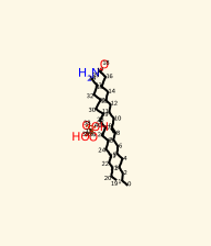 CCCCCCCCC=CCCCCCCCC=O.CCCCCCCCCCCCCCCCN.O=S(=O)(O)O